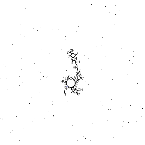 CC[C@H]1OC(=O)[C@H](C)[C@@H](O[C@H]2C[C@@](C)(OC)[C@@H](OS(=O)(=O)CCNCCNc3nc4c(cc3F)c(=O)c(C(=O)O)cn4CC)[C@H](C)O2)[C@H](C)[C@@H](O[C@@H]2O[C@H](C)C[C@H](N(C)C)[C@H]2O)[C@](C)(O)C[C@@H](C)/C(=N\OCC#N)[C@H](C)[C@@H](O)[C@]1(C)O